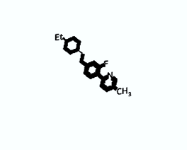 CC[C@H]1CC[C@H](CCc2ccc(-c3ccc(C)cn3)c(F)c2)CC1